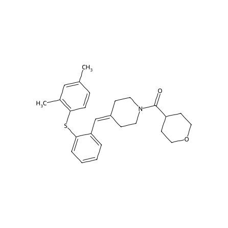 Cc1ccc(Sc2ccccc2C=C2CCN(C(=O)C3CCOCC3)CC2)c(C)c1